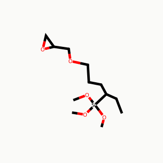 CCC(CCCOCC1CO1)[Si](OC)(OC)OC